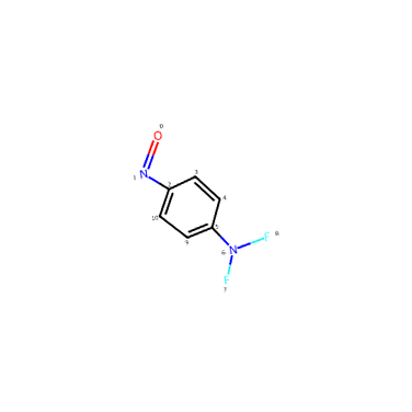 O=Nc1ccc(N(F)F)cc1